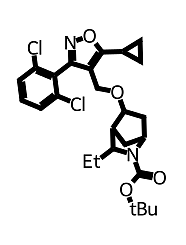 CCC1C2CC(CC2OCc2c(-c3c(Cl)cccc3Cl)noc2C2CC2)N1C(=O)OC(C)(C)C